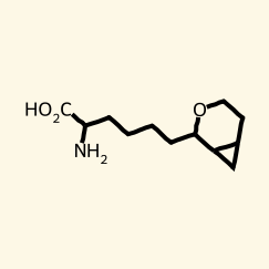 NC(CCCCC1OCCC2CC21)C(=O)O